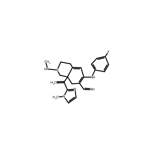 C=C(c1nccn1C)C12CC(C=N)=C(Nc3ccc(F)cc3)C=C1CCN(NC)C2